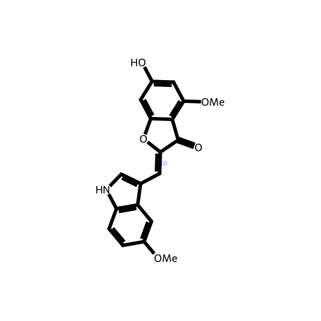 COc1ccc2[nH]cc(/C=C3\Oc4cc(O)cc(OC)c4C3=O)c2c1